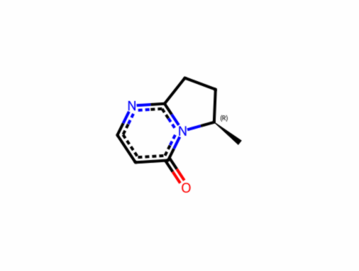 C[C@@H]1CCc2nccc(=O)n21